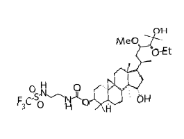 CCO[C@@H](C(C[C@@H](C)[C@H]1C[C@H](O)[C@@]2(C)C3CC[C@H]4C(C)(C)[C@@H](OC(=O)NCCNS(=O)(=O)C(F)(F)F)CC[C@@]45C[C@@]35CC[C@]12C)OC)C(C)(C)O